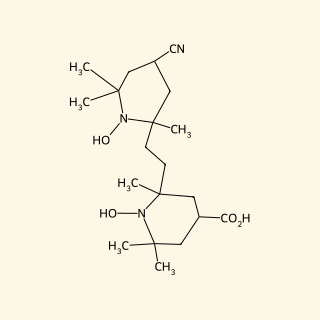 CC1(C)CC(C#N)CC(C)(CCC2(C)CC(C(=O)O)CC(C)(C)N2O)N1O